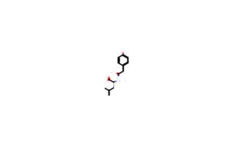 CC(C)C[C@H](NC(=O)Cc1ccc(O)cc1)C(=O)O